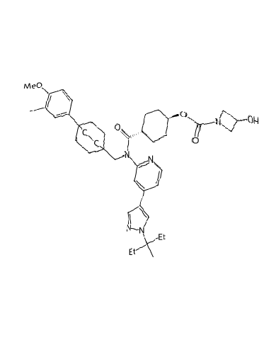 CCC(C)(CC)n1cc(-c2ccnc(N(CC34CCC(c5ccc(OC)c(C)c5)(CC3)CC4)C(=O)[C@H]3CC[C@H](OC(=O)N4CC(O)C4)CC3)c2)cn1